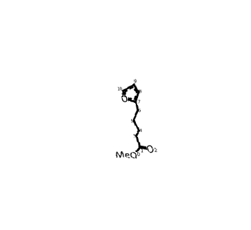 COC(=O)CCCCc1ccco1